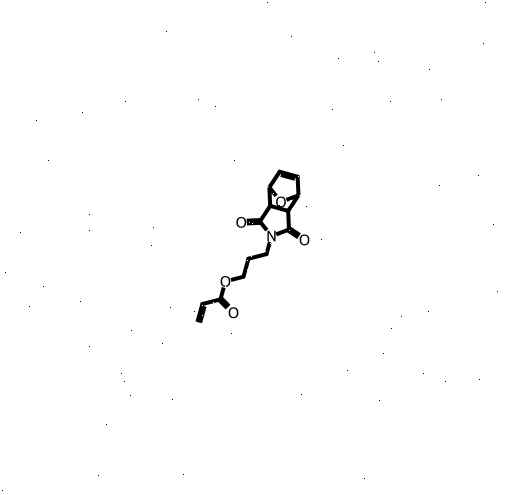 C=CC(=O)OCCCN1C(=O)C2C3C=CC(O3)C2C1=O